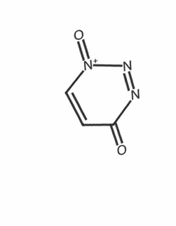 O=C1C=C[N+](=O)N=N1